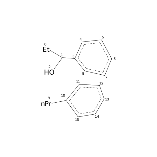 CCC(O)c1ccccc1.CCCc1ccccc1